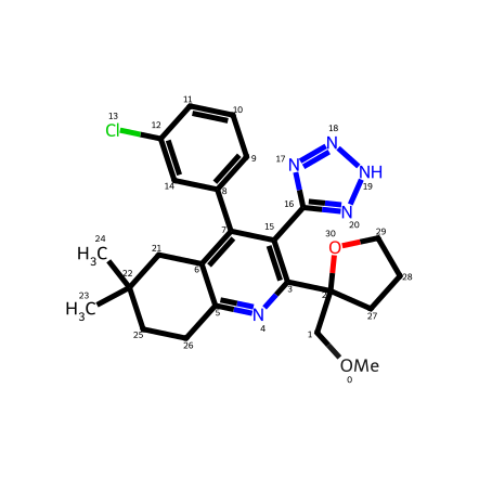 COCC1(c2nc3c(c(-c4cccc(Cl)c4)c2-c2nn[nH]n2)CC(C)(C)CC3)CCCO1